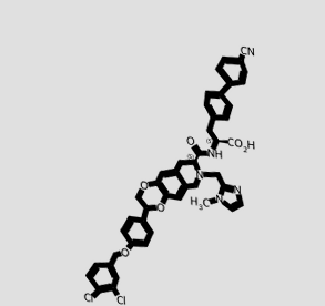 Cn1ccnc1CN1Cc2cc3c(cc2C[C@H]1C(=O)N[C@@H](Cc1ccc(-c2ccc(C#N)cc2)cc1)C(=O)O)OCC(c1ccc(OCc2ccc(Cl)c(Cl)c2)cc1)O3